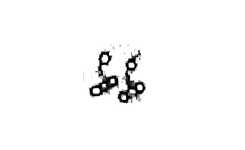 COc1ccc(C=NNc2c3ccccc3nc3ccccc23)cc1.FC(F)(F)Oc1ccc(C=NNc2c3ccccc3nc3ccccc23)cc1